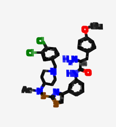 CC(=O)N(Sc1nc(-c2cccc(NC(=O)[C@@H](N)Cc3ccc(OC(C)(C)C)cc3)c2)cs1)C1CCN(Cc2ccc(Cl)c(Cl)c2)CC1